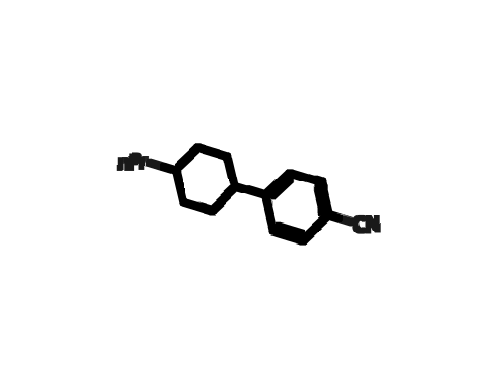 CCCC1CCC(c2ccc(C#N)cc2)CC1